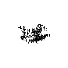 CCCCCCCC1(CCCCCC/C=C/[C@H](C(=O)N[C@@H](Cc2ccc(O)cc2)C(=O)OCC(=O)OC)C(O)(CCO[Si](C)(C)C(C)(C)C)C(=O)OC(C)(C)C)OCCO1